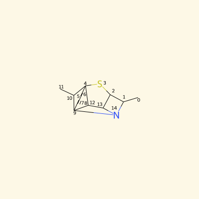 CC1C2SC34CCC=CC5(C3C)C4C2N15